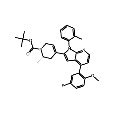 COc1ccc(F)cc1-c1ccnc2c1cc(C1=CCN(C(=O)OC(C)(C)C)[C@@H](C)C1)n2-c1ccccc1C